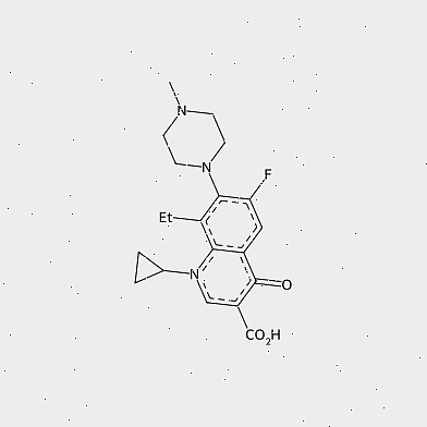 CCc1c(N2CCN(C)CC2)c(F)cc2c(=O)c(C(=O)O)cn(C3CC3)c12